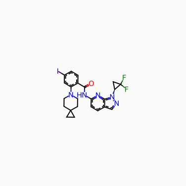 O=C(Nc1ccc2cnn([C@H]3CC3(F)F)c2n1)c1ccc(I)cc1N1CCC2(CC1)CC2